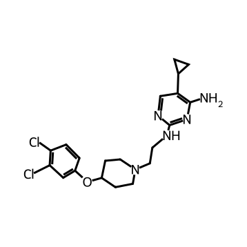 Nc1nc(NCCN2CCC(Oc3ccc(Cl)c(Cl)c3)CC2)ncc1C1CC1